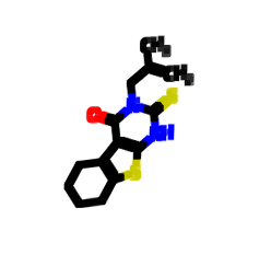 C=C(C)Cn1c(=S)[nH]c2sc3c(c2c1=O)CCCC3